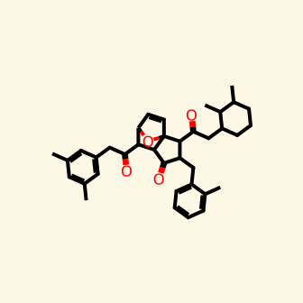 Cc1cc(C)cc(CC(=O)C2C3C=CC4(O3)C(C(=O)CC3CCCC(C)C3C)C(Cc3ccccc3C)C(=O)C24)c1